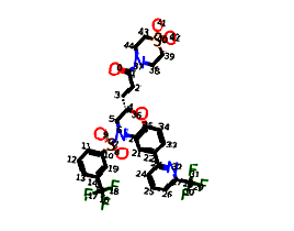 O=C(CC[C@H]1CN(S(=O)(=O)c2cccc(C(F)(F)F)c2)c2cc(-c3cccc(C(F)(F)F)n3)ccc2O1)N1CCS(=O)(=O)CC1